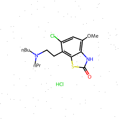 CCCCN(CCC)CCc1c(Cl)cc(OC)c2[nH]c(=O)sc12.Cl